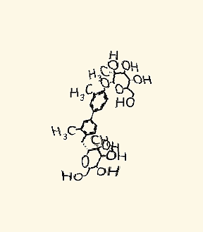 Cc1cc(-c2ccc(O[C@H]3OC(CO)[C@@H](O)C(O)[C@]3(C)O)c(C)c2)ccc1C[C@H]1OC(CO)[C@@H](O)C(O)[C@]1(C)O